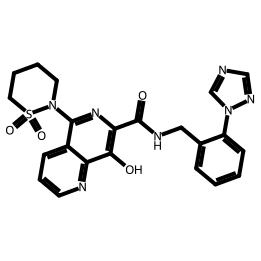 O=C(NCc1ccccc1-n1cncn1)c1nc(N2CCCCS2(=O)=O)c2cccnc2c1O